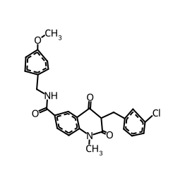 COc1ccc(CNC(=O)c2ccc3c(c2)C(=O)C(Cc2cccc(Cl)c2)C(=O)N3C)cc1